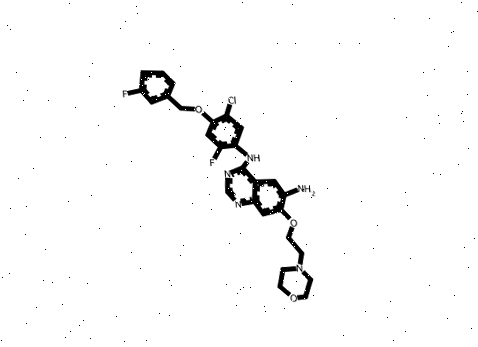 Nc1cc2c(Nc3cc(Cl)c(OCc4cccc(F)c4)cc3F)ncnc2cc1OCCN1CCOCC1